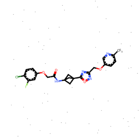 O=C(COc1ccc(Cl)c(F)c1)NC12CC(c3nc(COc4ccc(C(F)(F)F)nc4)no3)(C1)C2